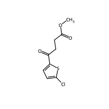 COC(=O)CCC(=O)c1ccc(Cl)s1